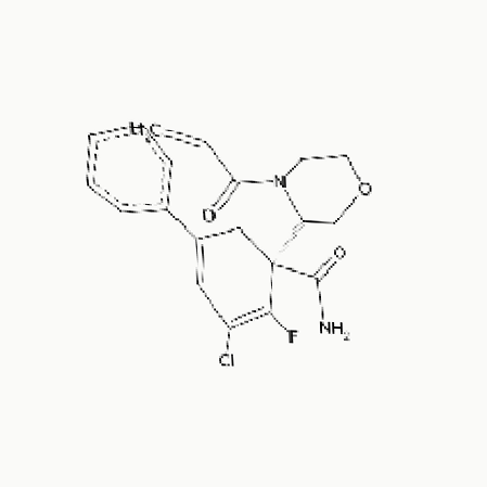 C=CC(=O)N1CCOCC1[C@@]1(C(N)=O)CC(c2ccccc2)=CC(Cl)=C1F